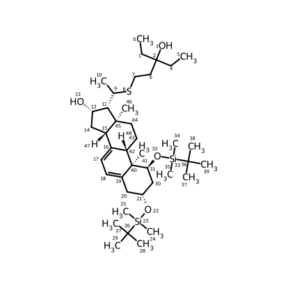 CCC(O)(CC)CCSC(C)[C@H]1[C@@H](O)C[C@H]2C3=CC=C4C[C@@H](O[Si](C)(C)C(C)(C)C)C[C@H](O[Si](C)(C)C(C)(C)C)[C@]4(C)[C@H]3CC[C@@]21C